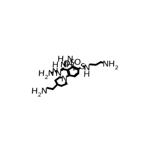 NCCCNSc1ccc(N2CCC(CCN)CC2)c(/C(N)=N/NN)c1S(N)(=O)=O